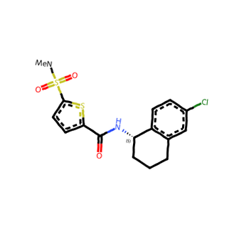 CNS(=O)(=O)c1ccc(C(=O)N[C@H]2CCCc3cc(Cl)ccc32)s1